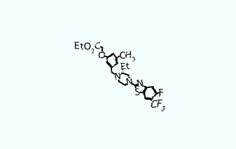 CCOC(=O)COc1cc(C)cc(CN2CCN(c3nc4cc(F)c(C(F)(F)F)cc4s3)C[C@H]2CC)c1